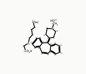 CCCCCCCCCCCCCCSCC(=O)O.CN1CCC(=C2c3ccccc3C=Cc3ccccc32)CC1.Cl